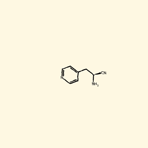 N#C[C@@H](N)Cc1ccncc1